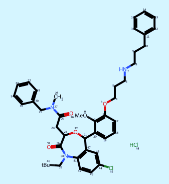 COc1c(OCCCNCCCc2ccccc2)cccc1C1OC(CC(=O)N(C)Cc2ccccc2)C(=O)N(CC(C)(C)C)c2ccc(Cl)cc21.Cl